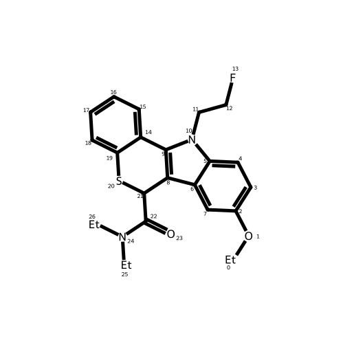 CCOc1ccc2c(c1)c1c(n2CCF)-c2ccccc2SC1C(=O)N(CC)CC